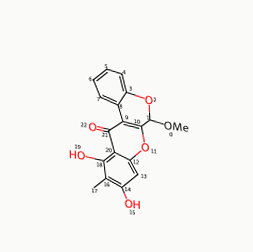 COC1Oc2ccccc2-c2c1oc1cc(O)c(C)c(O)c1c2=O